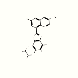 COc1cnc2c(-c3nc4c(Cl)c(F)c(OC(C)C(C)O)cc4s3)cc(Cl)cc2c1